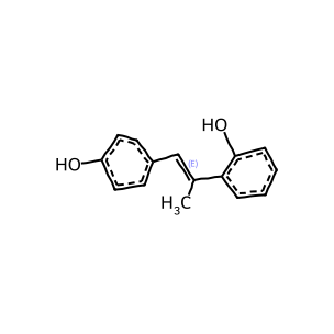 C/C(=C\c1ccc(O)cc1)c1ccccc1O